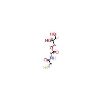 O=C(CS)NCC(=O)OCC(O)CO